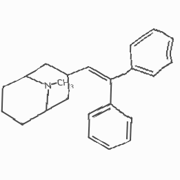 CN1C2CCCC1CC(C=C(c1ccccc1)c1ccccc1)C2